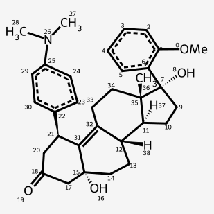 COc1ccccc1[C@@]1(O)CC[C@H]2[C@@H]3CC[C@@]4(O)CC(=O)C[C@@H](c5ccc(N(C)C)cc5)C4=C3CC[C@@]21C